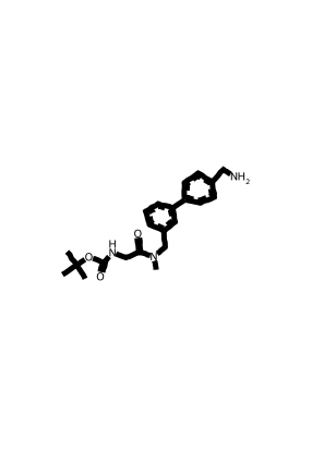 CN(Cc1cccc(-c2ccc(CN)cc2)c1)C(=O)CNC(=O)OC(C)(C)C